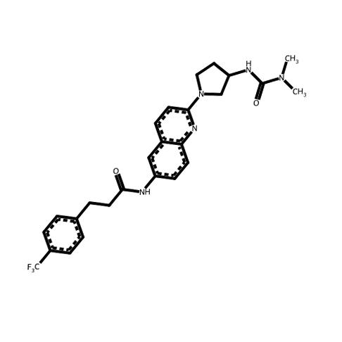 CN(C)C(=O)NC1CCN(c2ccc3cc(NC(=O)CCc4ccc(C(F)(F)F)cc4)ccc3n2)C1